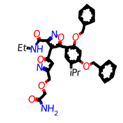 CCNC(=O)c1noc(-c2cc(C(C)C)c(OCc3ccccc3)cc2OCc2ccccc2)c1-c1cc(COCC(N)=O)no1